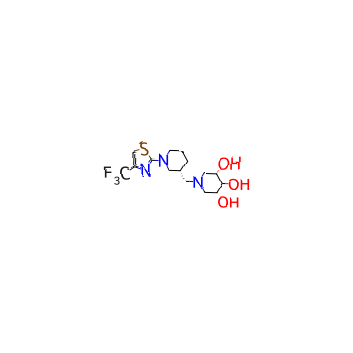 OC1[C@H](O)CN(C[C@H]2CCCN(c3nc(C(F)(F)F)cs3)C2)C[C@@H]1O